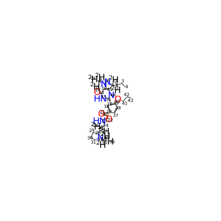 [2H]C([2H])(CC)c1nn(C([2H])([2H])[2H])c2c(=O)[nH]c(-c3cc(S(=O)(=O)NCC([2H])([2H])C4CCCN4C([2H])([2H])[2H])ccc3OCCC)nc12